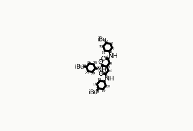 CCC(C)C1CCC(NC(=O)CC(CC(=O)NC2CCC(C(C)CC)CC2)C(=O)NC2CCC(C(C)CC)CC2)CC1